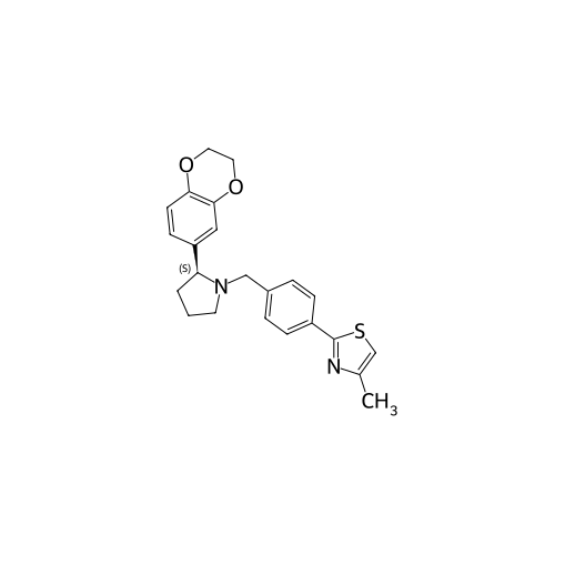 Cc1csc(-c2ccc(CN3CCC[C@H]3c3ccc4c(c3)OCCO4)cc2)n1